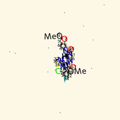 COC(=O)Cc1ccc(N2C[C@@H]3CN(CC4=C(C(=O)OC)[C@H](c5ccc(F)cc5Cl)N=C(c5nccs5)N4)CCN3C2=O)cc1